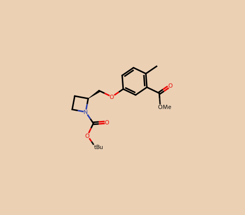 COC(=O)c1cc(OC[C@@H]2CCN2C(=O)OC(C)(C)C)ccc1C